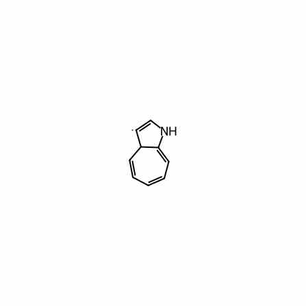 [C]1=CNC2=CC=CC=CC12